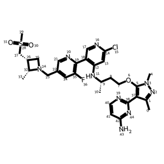 Cc1nn(C)c(OCC[C@H](C)Nc2cc(Cl)ncc2-c2ncc(CN3C[C@@H](CS(C)(=O)=O)[C@H]3C)cc2F)c1-c1nccc(N)n1